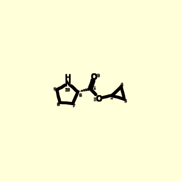 O=C(OC1CC1)[C@@H]1CCCN1